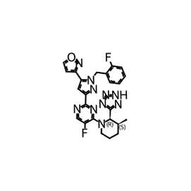 C[C@H]1CCCN(c2nc(-c3cc(-c4ccon4)n(Cc4ccccc4F)n3)ncc2F)[C@H]1c1nn[nH]n1